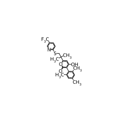 Cc1cc(C)c(-c2c(O)cc(C(C)(C)CSc3ccc(C(F)(F)F)cn3)oc2=O)c(C)c1